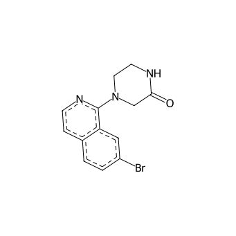 O=C1CN(c2nccc3ccc(Br)cc23)CCN1